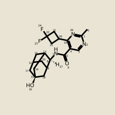 Cc1ncc(C(=O)N[C@H]2C3CC4CC2C[C@@](O)(C4)C3)c(C2CC(F)(F)C2)n1